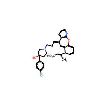 CC(=CC(=O)O)C1C=CC=C2Oc3ncccc3/C(=C/CCN3CCC(O)(c4ccc(Cl)cc4)CC3)C=C21